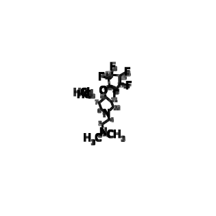 CN(C)CCN1CCC(Oc2c(F)c(F)c(F)c(F)c2F)CC1.Cl.Cl